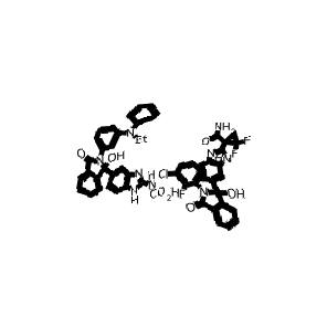 CCN(c1ccccc1)c1cccc(N2C(=O)c3ccccc3C2(O)c2ccc3[nH]c(NC(=O)O)nc3c2)c1.NC(=O)C1(c2nc3ccc(C4(O)c5ccccc5C(=O)N4c4cccc(Cl)c4F)cc3[nH]2)CC1(F)F